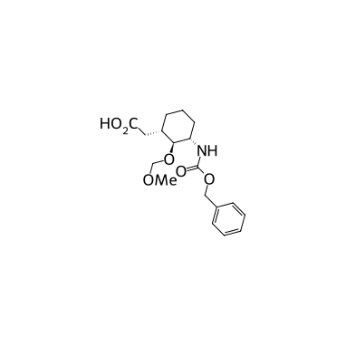 COCO[C@H]1[C@H](CC(=O)O)CCC[C@@H]1NC(=O)OCc1ccccc1